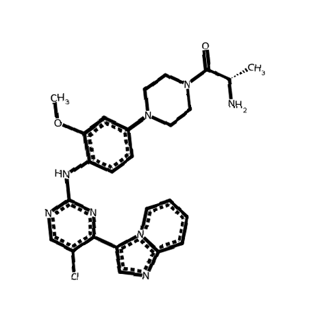 COc1cc(N2CCN(C(=O)[C@H](C)N)CC2)ccc1Nc1ncc(Cl)c(-c2cnc3ccccn23)n1